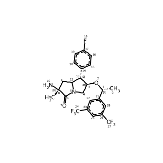 C[C@@H](O[C@H]1CN2C(=O)[C@](C)(N)CC2[C@@H]1c1ccc(F)cc1)c1cc(C(F)(F)F)cc(C(F)(F)F)c1